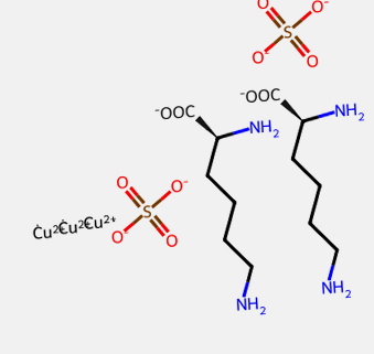 NCCCC[C@H](N)C(=O)[O-].NCCCC[C@H](N)C(=O)[O-].O=S(=O)([O-])[O-].O=S(=O)([O-])[O-].[Cu+2].[Cu+2].[Cu+2]